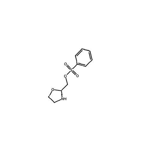 O=S(=O)(OCC1NCCO1)c1ccccc1